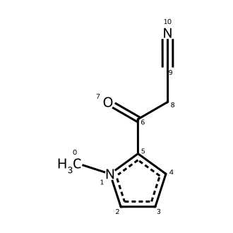 Cn1cccc1C(=O)CC#N